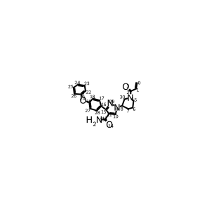 C=CC(=O)N1CCCC(n2cc(C(N)=O)c(-c3ccc(Oc4ccccc4)cc3)n2)C1